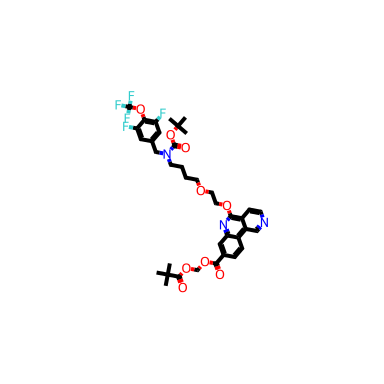 CC(C)(C)OC(=O)N(CCCCOCCOc1nc2cc(C(=O)OCOC(=O)C(C)(C)C)ccc2c2cnccc12)Cc1cc(F)c(OC(F)(F)F)c(F)c1